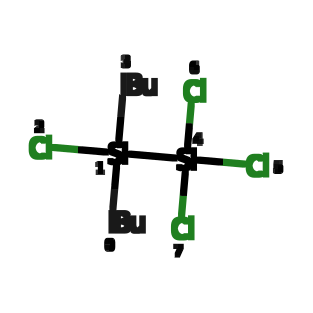 CCC(C)[Si](Cl)(C(C)CC)[Si](Cl)(Cl)Cl